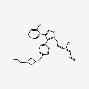 C=C/C=C(O)\C=C/Cc1occ(C2=CCCC=C2Cl)c1C(/C=C\C(=C)OC1CN(CCC)C1)=C/C